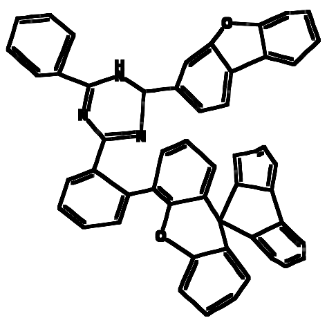 c1ccc(C2=NC(c3ccccc3-c3cccc4c3Oc3ccccc3C43c4ccccc4-c4ccccc43)=NC(c3ccc4c(c3)oc3ccccc34)N2)cc1